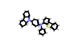 C1=CC(n2c3ccccc3c3ccccc32)CC=C1N(c1ccccc1)c1cccc2c1sc1ccccc12